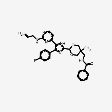 C=CCNc1nccc(-c2[nH]c(C3OCC(C)(CNC(=O)c4ccccc4)CO3)nc2-c2ccc(F)cc2)n1